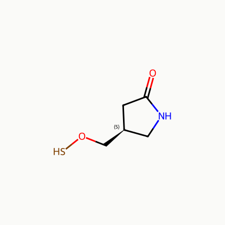 O=C1C[C@H](COS)CN1